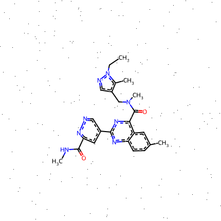 CCn1ncc(CN(C)C(=O)c2nc(-c3cnnc(C(=O)NC)c3)nc3ccc(C)cc23)c1C